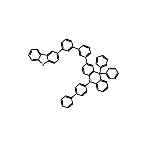 c1ccc(-c2ccc(N3c4ccccc4C(c4ccccc4)(c4ccccc4)c4cc(-c5cccc(-c6cccc(-c7ccc8sc9ccccc9c8c7)c6)c5)ccc43)cc2)cc1